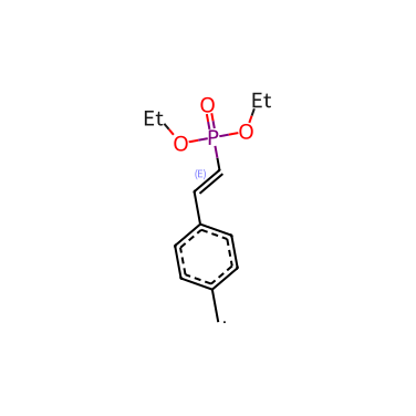 [CH2]c1ccc(/C=C/P(=O)(OCC)OCC)cc1